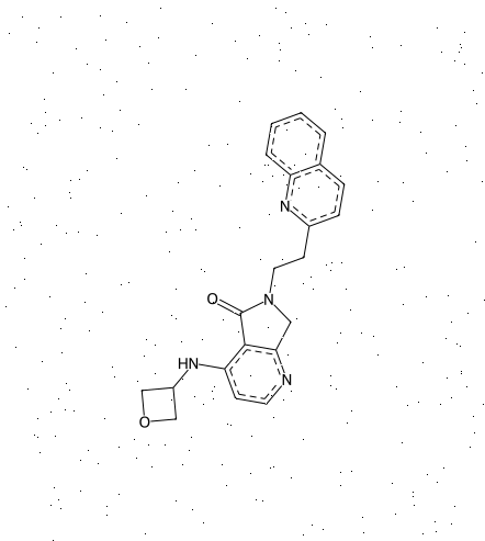 O=C1c2c(NC3COC3)ccnc2CN1CCc1ccc2ccccc2n1